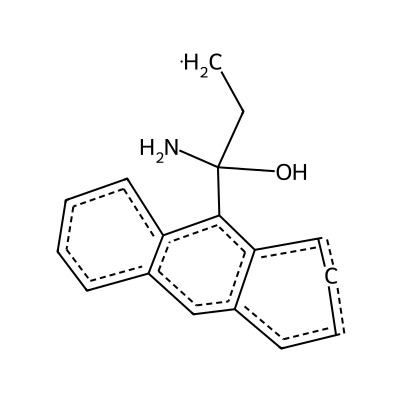 [CH2]CC(N)(O)c1c2ccccc2cc2ccccc12